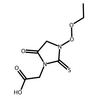 CCOON1CC(=O)N(CC(=O)O)C1=S